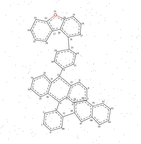 c1ccc(-c2c3ccccc3c(-c3ccc(-c4cccc5oc6ccccc6c45)cc3)c3ccccc23)c(-c2ccc3ccccc3c2)c1